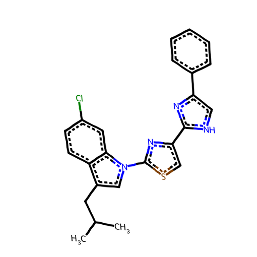 CC(C)Cc1cn(-c2nc(-c3nc(-c4ccccc4)c[nH]3)cs2)c2cc(Cl)ccc12